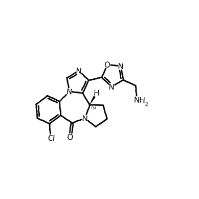 NCc1noc(-c2ncn3c2[C@@H]2CCCN2C(=O)c2c(Cl)cccc2-3)n1